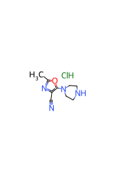 Cc1nc(C#N)c(N2CCNCC2)o1.Cl